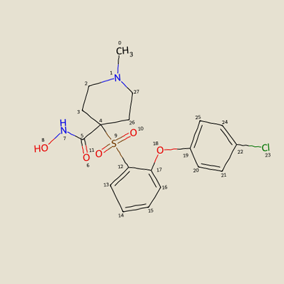 CN1CCC(C(=O)NO)(S(=O)(=O)c2ccccc2Oc2ccc(Cl)cc2)CC1